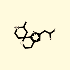 CC1CC2(CCN1)OCCc1cc(CC(F)F)sc12